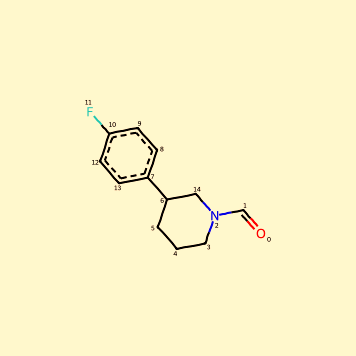 O=CN1CCCC(c2ccc(F)cc2)C1